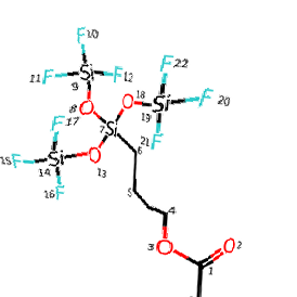 CC(=O)OCCC[Si](O[Si](F)(F)F)(O[Si](F)(F)F)O[Si](F)(F)F